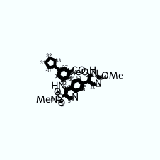 CNS(=O)(=O)c1cnc2cc(-c3cnc(OC)nc3OC)ccc2c1Nc1cc(C(=O)O)cc(C2CCCC2)c1